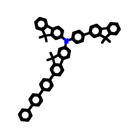 CC1(C)c2ccccc2-c2ccc(-c3ccc(N(c4ccc5c(c4)C(C)(C)c4ccccc4-5)c4ccc5c(c4)C(C)(C)c4cc(-c6ccc(-c7ccc(-c8ccccc8)cc7)cc6)ccc4-5)cc3)cc21